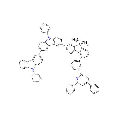 CC1(C)c2cc(-c3ccc4c(c3)c3cc(-c5ccc6c(c5)c5ccccc5n6-c5ccccc5)ccc3n4-c3ccccc3)ccc2-c2c(-c3cccc(C4=CCC(c5ccccc5)=CC(c5ccccc5)=N4)c3)cccc21